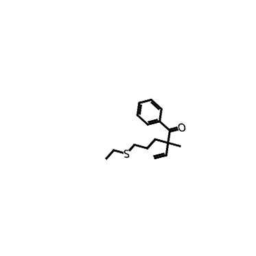 C=CC(C)(CCCSCC)C(=O)c1ccccc1